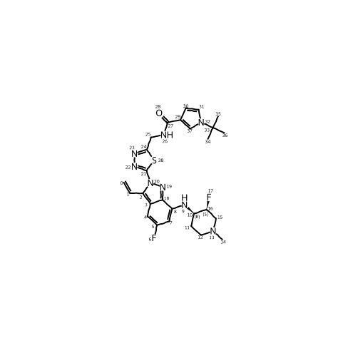 C=Cc1c2cc(F)cc(N[C@@H]3CCN(C)C[C@@H]3F)c2nn1-c1nnc(CNC(=O)c2ccn(C(C)(C)C)c2)s1